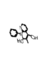 CC1=C(O)c2cccnc2N(c2ccccc2)C1O